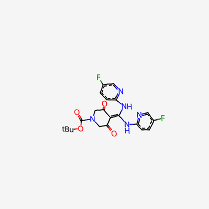 CC(C)(C)OC(=O)N1CC(=O)C(=C(Nc2ccc(F)cn2)Nc2ccc(F)cn2)C(=O)C1